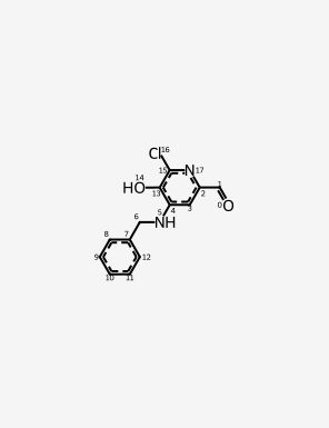 O=Cc1cc(NCc2ccccc2)c(O)c(Cl)n1